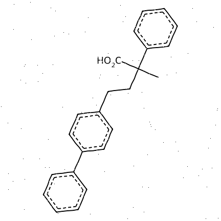 CC(CCc1ccc(-c2ccccc2)cc1)(C(=O)O)c1ccccc1